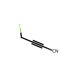 N#CC#C[CH]F